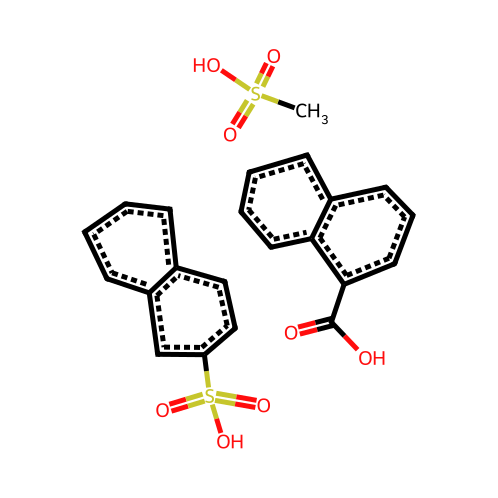 CS(=O)(=O)O.O=C(O)c1cccc2ccccc12.O=S(=O)(O)c1ccc2ccccc2c1